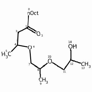 CCCCCCCCC(=O)CC(C)OCC(C)OCC(C)O